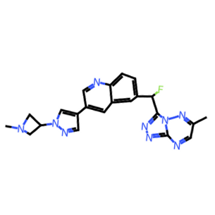 Cc1cnc2nnc(C(F)c3ccc4ncc(-c5cnn(C6CN(C)C6)c5)cc4c3)n2n1